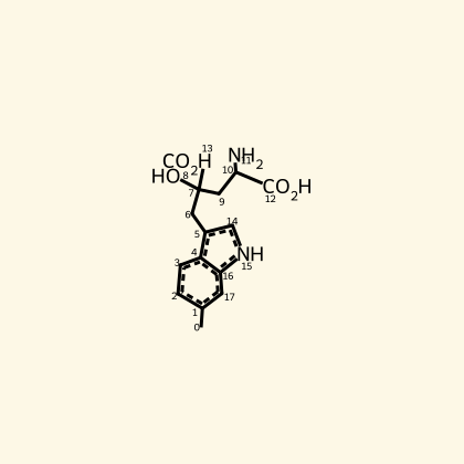 Cc1ccc2c(CC(O)(CC(N)C(=O)O)C(=O)O)c[nH]c2c1